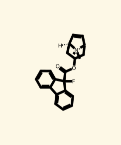 C[N+]1(C)C2C=C[C@@H]1CC(OC(=O)C1(F)c3ccccc3-c3ccccc31)C2